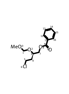 COCO[C@H](CCCl)COC(=O)c1ccccc1